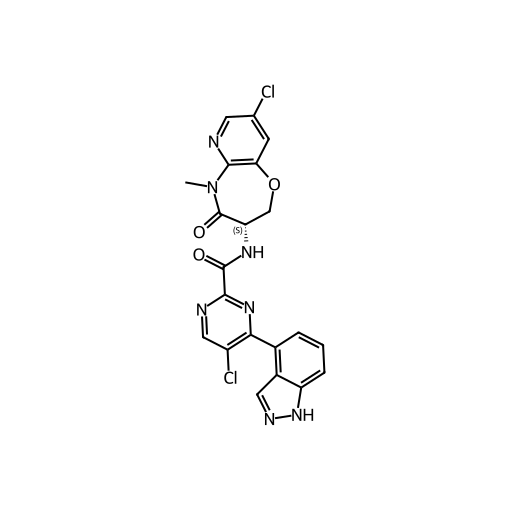 CN1C(=O)[C@@H](NC(=O)c2ncc(Cl)c(-c3cccc4[nH]ncc34)n2)COc2cc(Cl)cnc21